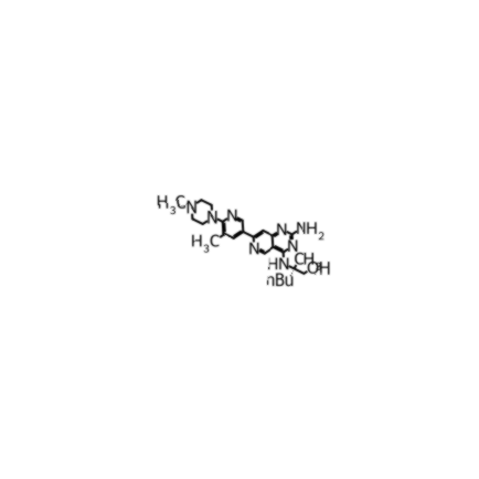 CCCC[C@](C)(CO)Nc1nc(N)nc2cc(-c3cnc(N4CCN(C)CC4)c(C)c3)ncc12